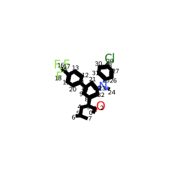 CC(=O)C(CC(C)C)c1cc(-c2ccc(C(F)(F)F)cc2)cc(N(C)c2ccc(Cl)cc2)c1